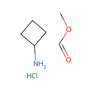 COC=O.Cl.NC1CCC1